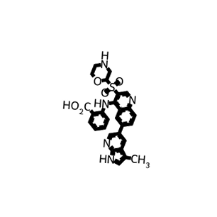 Cc1c[nH]c2ncc(-c3ccc4ncc(S(=O)(=O)C5CNCCO5)c(Nc5ccccc5C(=O)O)c4c3)cc12